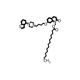 CCCCCCCCCCCCCCC(=O)OCn1c(=O)ccc2ccc(OCCCCN3CCN(c4cccc5sccc45)CC3)cc21